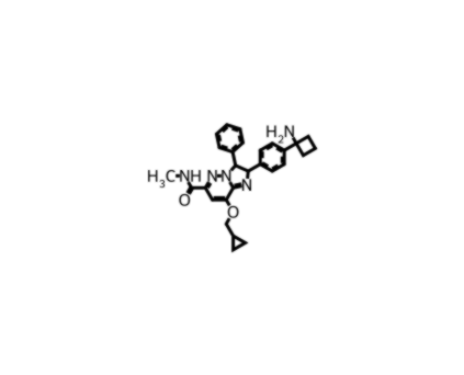 CNC(=O)C1=NN2C(=NC(c3ccc(C4(N)CCC4)cc3)C2c2ccccc2)C(OCC2CC2)=C1